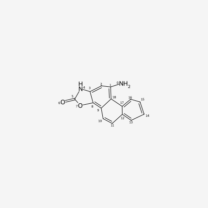 Nc1cc2[nH]c(=O)oc2c2ccc3ccccc3c12